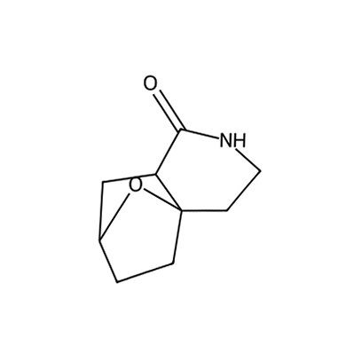 O=C1NCCC23CCC(CC12)O3